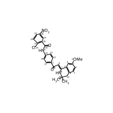 COc1ccc2c(c1)/C(=C/C(=O)c1ccc(NC(=O)c3cc([N+](=O)[O-])ccc3Cl)cc1)NC(C)(C)C2